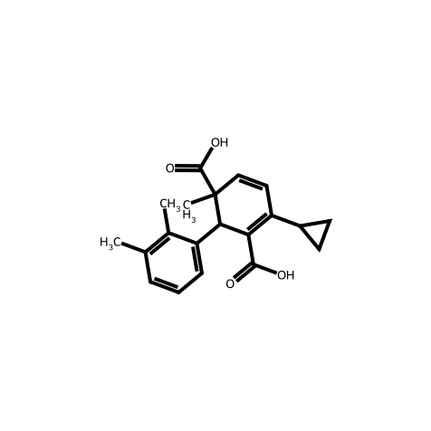 Cc1cccc(C2C(C(=O)O)=C(C3CC3)C=CC2(C)C(=O)O)c1C